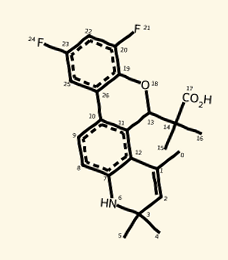 CC1=CC(C)(C)Nc2ccc3c(c21)C(C(C)(C)C(=O)O)Oc1c(F)cc(F)cc1-3